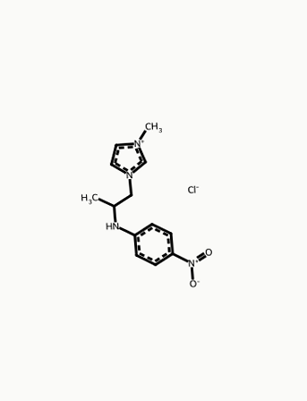 CC(Cn1cc[n+](C)c1)Nc1ccc([N+](=O)[O-])cc1.[Cl-]